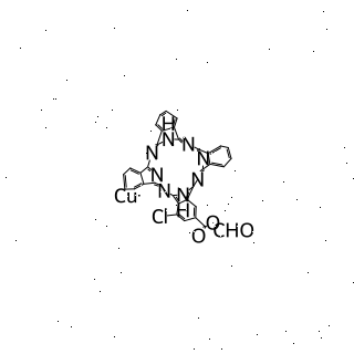 O=COC(=O)c1cc(Cl)c2c3nc4nc(nc5[nH]c(nc6nc(nc([nH]3)c2c1)-c1ccccc1-6)c1ccccc51)-c1ccccc1-4.[Cu]